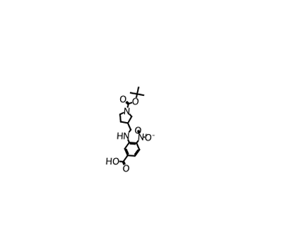 CC(C)(C)OC(=O)N1CCC(CNc2cc(C(=O)O)ccc2[N+](=O)[O-])C1